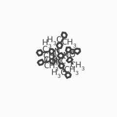 Cc1ccc(N(c2cc3c4c(c2)N(c2ccc(C(C)(C)c5ccccc5)cc2)c2ccc(C(C)(C)c5ccccc5)cc2B4c2cc(C(C)(C)c4ccccc4)ccc2N3c2ccc(C(C)(C)c3ccccc3)cc2)c2cccc3c2oc2ccccc23)c(C)c1